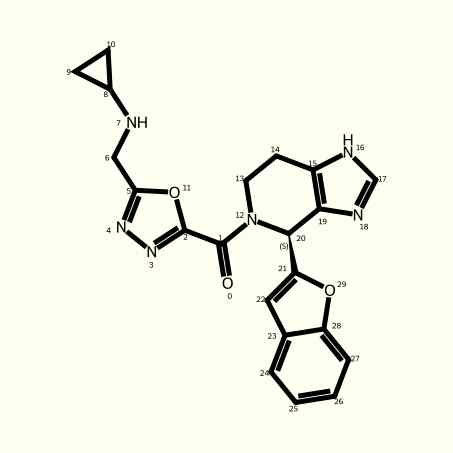 O=C(c1nnc(CNC2CC2)o1)N1CCc2[nH]cnc2[C@H]1c1cc2ccccc2o1